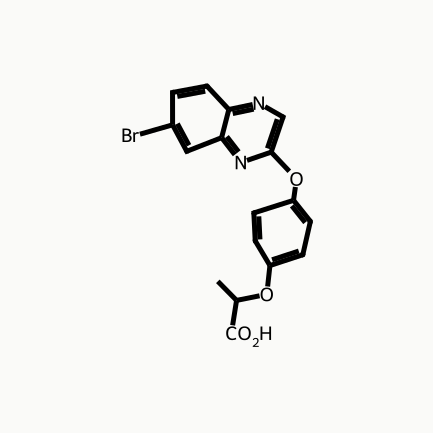 CC(Oc1ccc(Oc2cnc3ccc(Br)cc3n2)cc1)C(=O)O